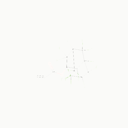 C=CC(=O)OC12C(F)C3(F)C(F)(F)C(F)(C1(F)F)C(F)(F)C(F)(C3(F)F)C2(F)F